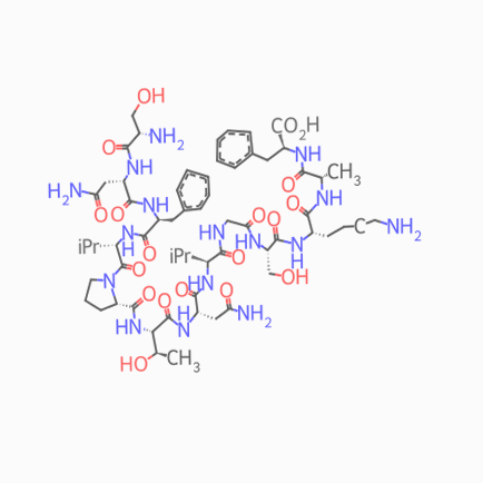 CC(C)[C@H](NC(=O)[C@H](CC(N)=O)NC(=O)[C@@H](NC(=O)[C@@H]1CCCN1C(=O)[C@@H](NC(=O)[C@H](Cc1ccccc1)NC(=O)[C@H](CC(N)=O)NC(=O)[C@@H](N)CO)C(C)C)[C@@H](C)O)C(=O)NCC(=O)N[C@@H](CO)C(=O)N[C@@H](CCCCN)C(=O)N[C@@H](C)C(=O)N[C@@H](Cc1ccccc1)C(=O)O